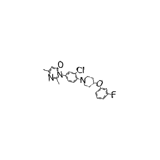 Cc1cc(=O)n(-c2ccc(N3CCC(Oc4cccc(F)c4)CC3)c(Cl)c2)c(C)n1